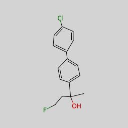 CC(O)(CCF)c1ccc(-c2ccc(Cl)cc2)cc1